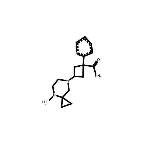 CN1CCN(C2CC(C(N)=O)(c3ccccn3)C2)CC12CC2